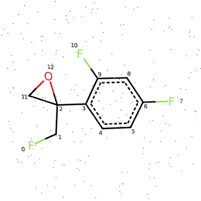 FCC1(c2ccc(F)cc2F)CO1